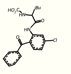 CCC(C)C(NC(=O)O)C(=O)Nc1cc(Cl)ccc1C(=O)c1ccccc1